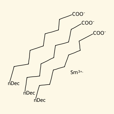 CCCCCCCCCCCCCCCCCC(=O)[O-].CCCCCCCCCCCCCCCCCC(=O)[O-].CCCCCCCCCCCCCCCCCC(=O)[O-].[Sm+3]